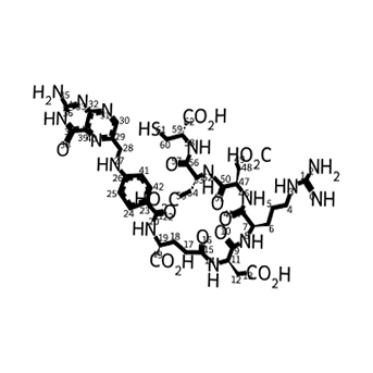 N=C(N)NCCC[C@@H](NC(=O)[C@@H](CC(=O)O)NC(=O)CC[C@@H](NC(=O)c1ccc(NCc2cnc3nc(N)[nH]c(=O)c3n2)cc1)C(=O)O)C(=O)N[C@H](CC(=O)O)C(=O)N[C@H](CC(=O)O)C(=O)N[C@H](CS)C(=O)O